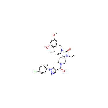 CCN1C(=O)N2Cc3cc(OC)cc(OC)c3[C@@H](C)C=C2C12CCN(C(=O)c1cnn(C3(C)C=CC(F)=CC3)c1C)CC2